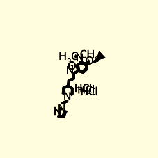 CN(C)c1c(OCC2CC2)ccc2c(CCC3CCN(CCn4cccn4)CC3)noc12.Cl.Cl.Cl